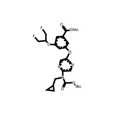 COC(=O)c1cc(Oc2cnc(N(CC3CC3)C(=O)OC(C)(C)C)cn2)cc(OC(CF)CF)c1